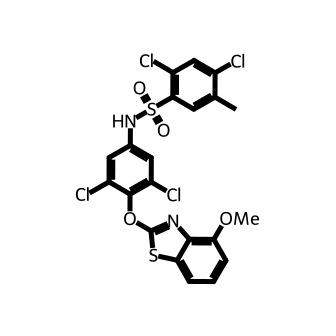 COc1cccc2sc(Oc3c(Cl)cc(NS(=O)(=O)c4cc(C)c(Cl)cc4Cl)cc3Cl)nc12